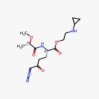 CO[C@@H](C)C(=O)N[C@@H](CCC(=O)C=[N+]=[N-])C(=O)OCCNC1CC1